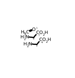 C=O.NCC(=O)O.NCC(=O)O